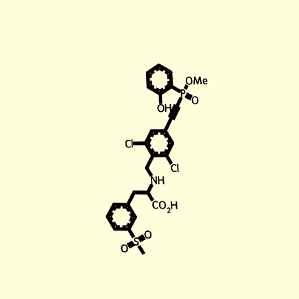 COP(=O)(C#Cc1cc(Cl)c(CNC(Cc2cccc(S(C)(=O)=O)c2)C(=O)O)c(Cl)c1)c1ccccc1O